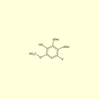 CCCCCCCCCCc1c(F)cc(OC(=O)O)c(O)c1CCCCCCCCCC